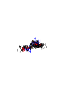 COC(=O)N[C@H](C(=O)N1CCC[C@H]1C(=O)Nc1nc([C@@H]2CC[C@@H](c3csc(NC(=O)[C@@H]4CCCN4C(=O)[C@@H](NC(=O)OC)C(C)(C)C)n3)N2c2ccc(C(C)(C)C)cc2)cs1)C(C)(C)C